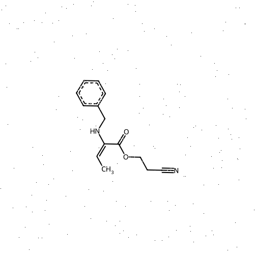 CC=C(NCc1ccccc1)C(=O)OCCC#N